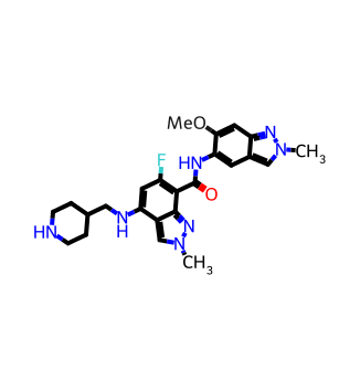 COc1cc2nn(C)cc2cc1NC(=O)c1c(F)cc(NCC2CCNCC2)c2cn(C)nc12